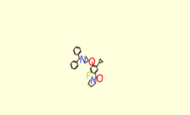 O=C(c1cc(C2CC2)c(OC2CN(C(c3ccccc3)c3ccccc3)C2)cc1F)N1CCCC1